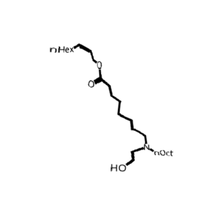 CCCCCC/C=C\COC(=O)CCCCCCCN(CCO)CCCCCCCC